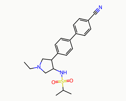 CCN1CC(NS(=O)(=O)C(C)C)C(c2ccc(-c3ccc(C#N)cc3)cc2)C1